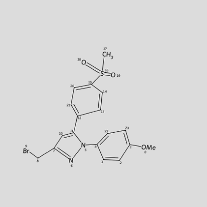 COc1ccc(-n2nc(CBr)cc2-c2ccc(S(C)(=O)=O)cc2)cc1